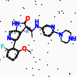 COc1cccc(F)c1-c1cc2c(cn1)NC(=O)/C2=C(/C)Nc1ccc(N2CCNCC2)nc1